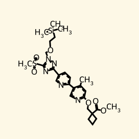 COC(=O)C1(COc2cc(C)c(-c3ccc(-c4nc(S(C)(=O)=O)n(COCC[Si](C)(C)C)n4)cn3)cn2)CCC1